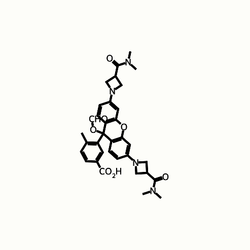 Cc1ccc(C(=O)O)cc1C1(OC=O)c2ccc(N3CC(C(=O)N(C)C)C3)cc2Oc2cc(N3CC(C(=O)N(C)C)C3)ccc21